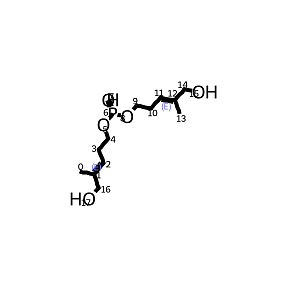 C/C(=C\CCO[PH](=O)OCC/C=C(\C)CO)CO